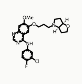 COc1cc2ncnc(Nc3ccc(F)c(Cl)c3)c2cc1OCCCN1CC[C@H]2OCC[C@H]21